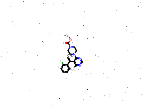 C/C=C(/c1ccccc1F)c1c(C)ncnc1N1CCN(C(=O)OC(C)(C)C)CC1